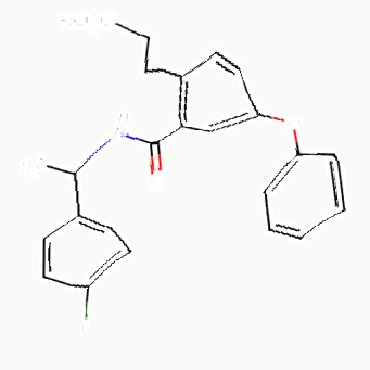 CC(NC(=O)c1cc(Oc2ccccc2)ccc1CCC(=O)O)c1ccc(F)cc1